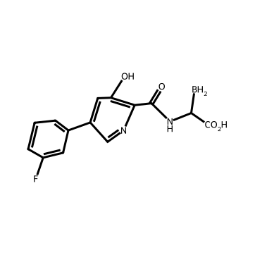 BC(NC(=O)c1ncc(-c2cccc(F)c2)cc1O)C(=O)O